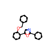 c1ccc(COc2ccccc2-c2cnc(-c3ccccc3)o2)cc1